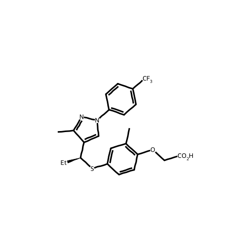 CC[C@H](Sc1ccc(OCC(=O)O)c(C)c1)c1cn(-c2ccc(C(F)(F)F)cc2)nc1C